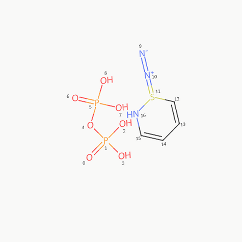 O=P(O)(O)OP(=O)(O)O.[N-]=[N+]=S1C=CC=CN1